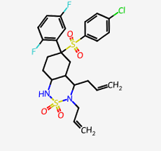 C=CCC1C2CC(c3cc(F)ccc3F)(S(=O)(=O)c3ccc(Cl)cc3)CCC2NS(=O)(=O)N1CC=C